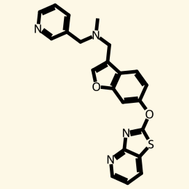 CN(Cc1cccnc1)Cc1coc2cc(Oc3nc4ncccc4s3)ccc12